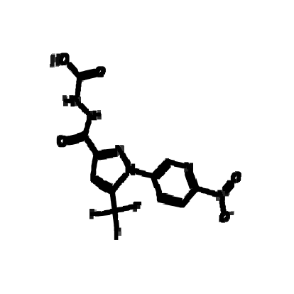 O=C(O)NNC(=O)c1cc(C(F)(F)F)n(-c2ccc([N+](=O)[O-])nc2)n1